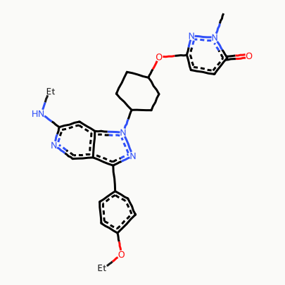 CCNc1cc2c(cn1)c(-c1ccc(OCC)cc1)nn2C1CCC(Oc2ccc(=O)n(C)n2)CC1